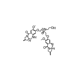 C=C1C[C@H]2CNc3cc(OCCP(=O)(CCOc4cc5c(cc4OC)C(=O)N4CC(=C)C[C@H]4C=N5)NCCO)c(OC)cc3C(=O)N2C1